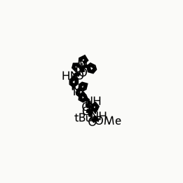 COC(=O)N[C@H](C(=O)N1CCC[C@H]1C(=O)Nc1ccc(CN(Cc2ccc(NC(=O)[C@@H]3CCCN3C(=O)[C@@H](c3ccccc3)N3CCCC3)cc2)c2ccccc2)cc1)C(C)(C)C